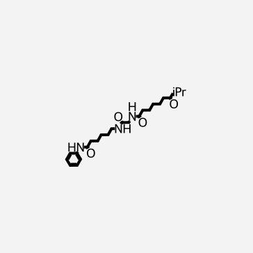 CC(C)C(=O)CCCCCC(=O)NCC(=O)NCCCCCC(=O)Nc1ccccc1